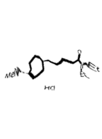 CCN(CC)C(=O)CCCC[C@H]1CC[C@H](NC)CC1.Cl